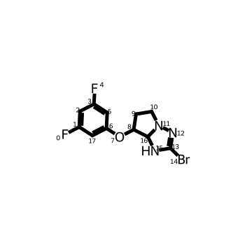 Fc1cc(F)cc(OC2CCN3N=C(Br)NC23)c1